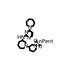 CCCCCS(=O)(=O)N1CCCC(N2CCCCC(Nc3nccc(N4CCCCCC4)n3)C2)C1